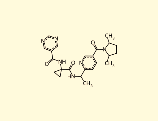 CC(NC(=O)C1(NC(=O)c2cncnc2)CC1)c1ccc(C(=O)N2C(C)CCC2C)cn1